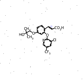 CC(C)(O)COc1ccc(/C=C/C(=O)O)c(Oc2ncc(C(F)(F)F)cc2Cl)c1